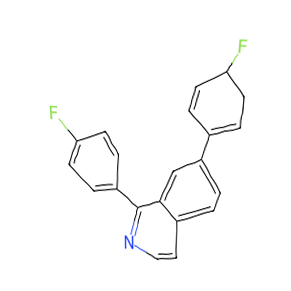 Fc1ccc(-c2nccc3ccc(C4=CCC(F)C=C4)cc23)cc1